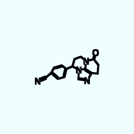 N#Cc1ccc(C2CCN3C(=O)CCc4ncn2c43)cc1